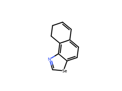 C1=Cc2ccc3[se]cnc3c2CC1